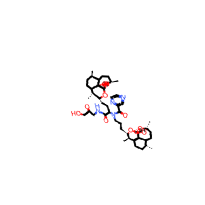 C[C@@H]1CCC2[C@@H](C)[C@@H](CCCN(C(=O)c3cnccn3)C(CC[C@H]3O[C@@H]4O[C@]5(C)CCC6[C@H](C)CCC([C@H]3C)[C@]64OO5)C(=O)NCC(=O)CO)O[C@@H]3O[C@]4(C)CCC1[C@@]23OO4